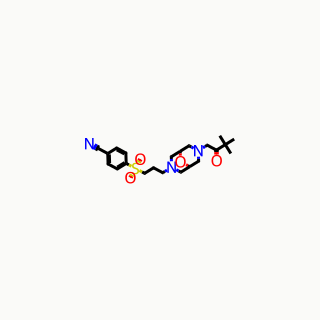 CC(C)(C)C(=O)CN1CC2CN(CCCS(=O)(=O)c3ccc(C#N)cc3)CC(C1)O2